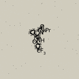 CC(C)n1nc(-c2sc(NC(=O)c3ccc(C(F)(F)F)cc3)nc2-c2ccccc2)ccc1=O